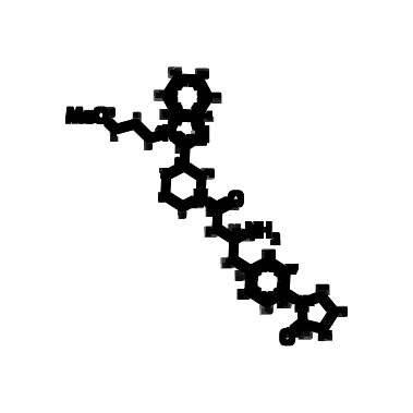 COCCCn1c(C2CCCN(C(=O)CC(N)Cc3ccc(N4CCCC4=O)cc3)C2)nc2ccccc21